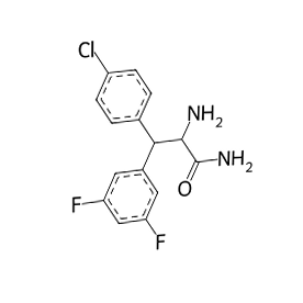 NC(=O)C(N)C(c1ccc(Cl)cc1)c1cc(F)cc(F)c1